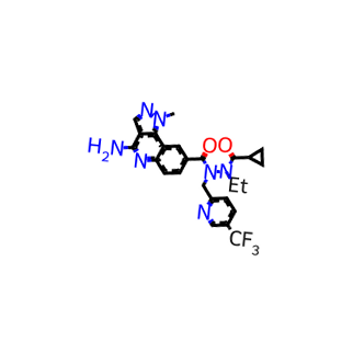 CCN(C(=O)C1CC1)N(Cc1ccc(C(F)(F)F)cn1)C(=O)c1ccc2nc(N)c3cnn(C)c3c2c1